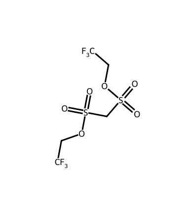 O=S(=O)(CS(=O)(=O)OCC(F)(F)F)OCC(F)(F)F